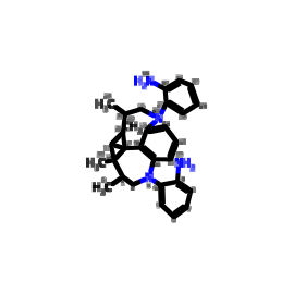 CC1CN(c2ccccc2N)c2cccc3c2C24C(C12C)C4(C)C(C)CN3c1ccccc1N